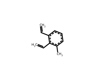 C=[C]c1cccc(C)c1C=C